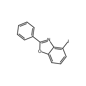 Ic1cccc2oc(-c3ccccc3)nc12